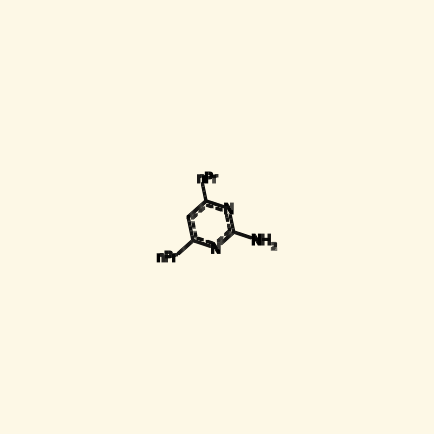 CCCc1cc(CCC)nc(N)n1